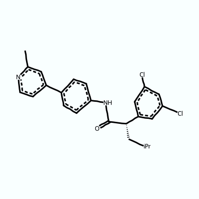 Cc1cc(-c2ccc(NC(=O)[C@@H](CC(C)C)c3cc(Cl)cc(Cl)c3)cc2)ccn1